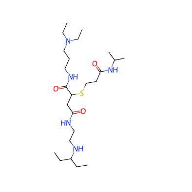 CCC(CC)NCCNC(=O)CC(SCCC(=O)NC(C)C)C(=O)NCCCN(CC)CC